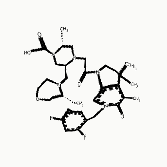 Cc1c2c(cn(Cc3ccc(F)cc3F)c1=O)N(C(=O)CN1C[C@@H](C)N(C(=O)O)C[C@@H]1CN1CCOC[C@H]1C)CC2(C)C